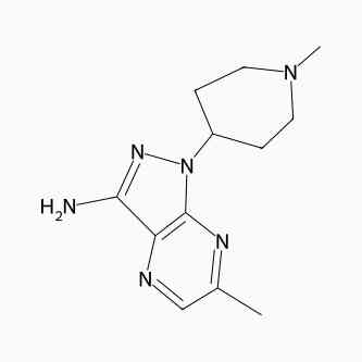 Cc1cnc2c(N)nn(C3CCN(C)CC3)c2n1